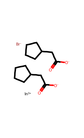 O=C([O-])CC1CCCC1.O=C([O-])CC1CCCC1.[Br-].[In+3]